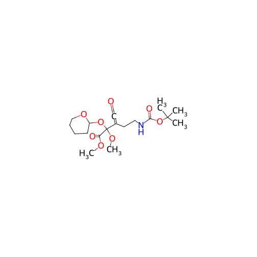 COC(=O)C(OC)(OC1CCCCO1)C(=C=O)CCNC(=O)OC(C)(C)C